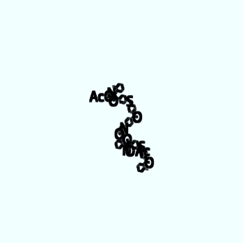 CC(=O)O/N=C(\C(=O)c1ccc(Sc2ccc(C(=O)c3ccc(N4CCOC(Cc5ccccc5/C(=N/OC(C)=O)C(=O)c5ccc(Sc6ccc(C(=O)c7ccccc7C)cc6)cc5)C4)cc3)cc2)cc1)c1ccccc1C